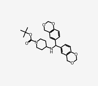 CC(C)(C)OC(=O)N1CCC(NC(c2ccc3c(c2)COCO3)c2ccc3c(c2)COCO3)CC1